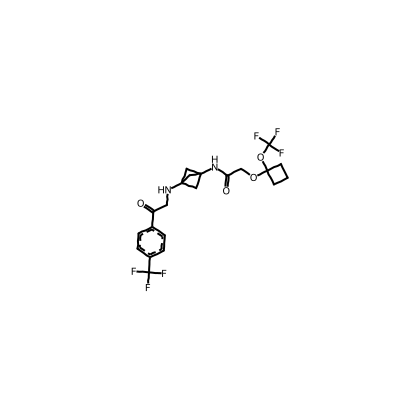 O=C(COC1(OC(F)(F)F)CCC1)NC12CC(NCC(=O)c3ccc(C(F)(F)F)cc3)(C1)C2